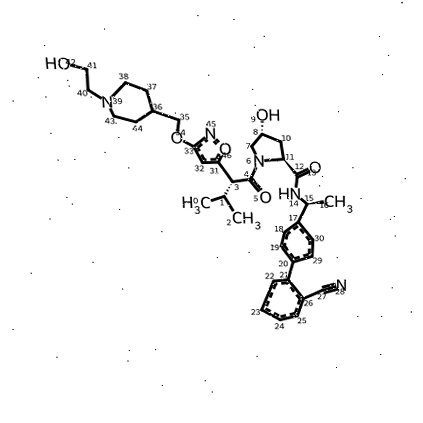 CC(C)[C@@H](C(=O)N1C[C@H](O)C[C@H]1C(=O)N[C@@H](C)c1ccc(-c2ccccc2C#N)cc1)c1cc(OCC2CCN(CCO)CC2)no1